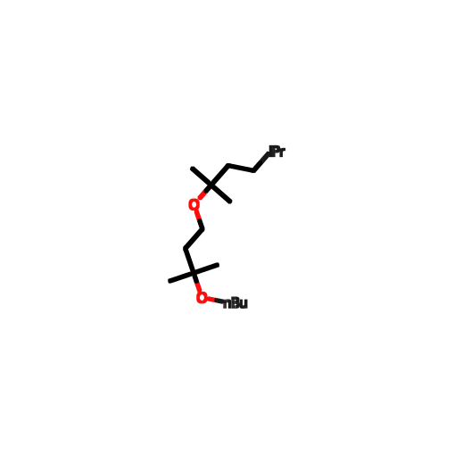 CCCCOC(C)(C)CCOC(C)(C)CCC(C)C